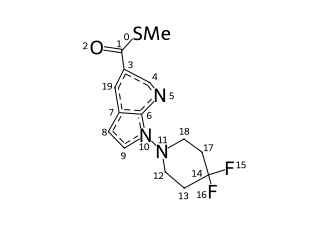 CSC(=O)c1cnc2c(ccn2N2CCC(F)(F)CC2)c1